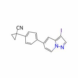 N#CC1(c2ccc(-c3ccn4ncc(I)c4c3)cc2)CC1